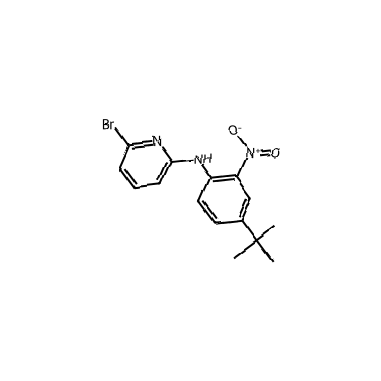 CC(C)(C)c1ccc(Nc2cccc(Br)n2)c([N+](=O)[O-])c1